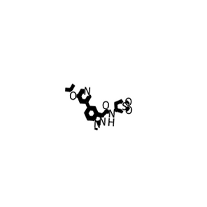 CC(C)Oc1cncc(-c2ccc3c(c2)c(C(=O)NC2CCS(=O)(=O)C2)nn3C)c1